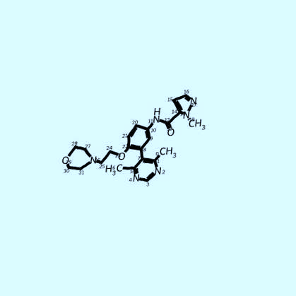 Cc1ncnc(C)c1-c1cc(NC(=O)c2ccnn2C)ccc1OCCN1CCOCC1